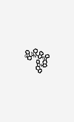 c1cc(-n2c3ccccc3c3ccc4ccccc4c32)c2cc3c(cc2c1)c1ccccc1n3-c1ccc(-c2nc(-c3cccc4oc5ccccc5c34)nc3ccccc23)c2ccccc12